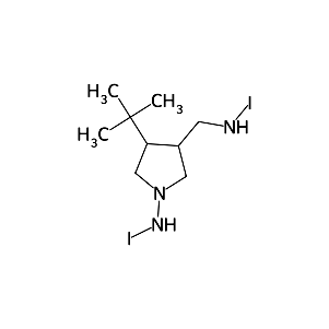 CC(C)(C)C1CN(NI)CC1CNI